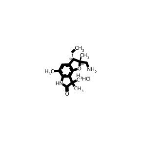 CC[C@H]1c2cc(C)c3c(c2O[C@@]1(C)CN)C(C)(C)C(=O)N3.Cl